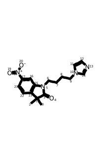 CC1(C)C(=O)N(CCCCn2ccnc2)c2cc([N+](=O)[O-])ccc21